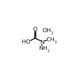 CN(N)C(=O)O.O